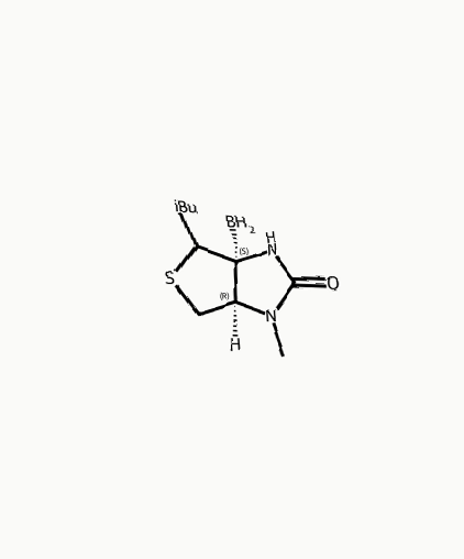 B[C@]12NC(=O)N(C)[C@H]1CSC2C(C)CC